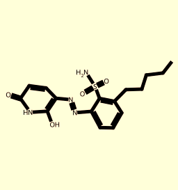 CCCCCc1cccc(N=Nc2ccc(=O)[nH]c2O)c1S(N)(=O)=O